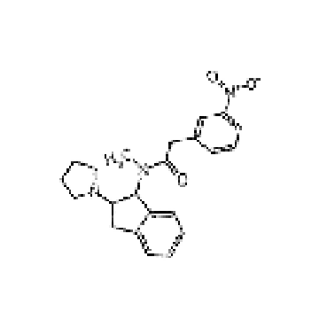 CN(C(=O)Cc1cccc([N+](=O)[O-])c1)C1c2ccccc2CC1N1CCCC1